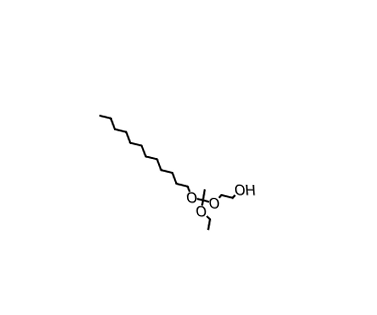 CCCCCCCCCCCCOC(C)(OCC)OCCO